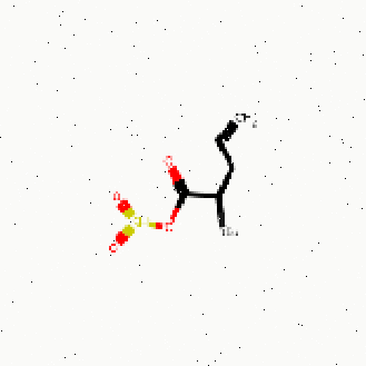 C=CCC(C(=O)O[SH](=O)=O)C(C)(C)C